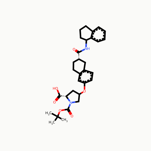 CC(C)(C)OC(=O)N1CC(Oc2ccc3c(c2)CC[C@H](C(=O)NC2CCCc4ccccc42)C3)C[C@H]1C(=O)O